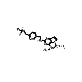 C[C@H]1CN(C)c2nc(NCc3ccc(CCC(F)(F)F)nc3)nc3ccn1c23